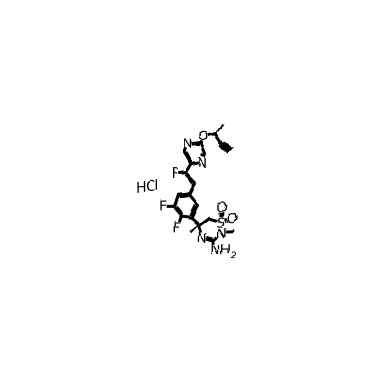 C#C[C@H](C)Oc1cnc(/C(F)=C/c2cc(F)c(F)c([C@]3(C)CS(=O)(=O)N(C)C(N)=N3)c2)cn1.Cl